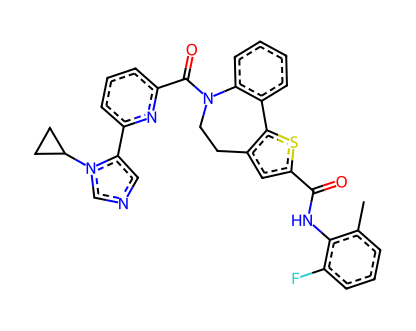 Cc1cccc(F)c1NC(=O)c1cc2c(s1)-c1ccccc1N(C(=O)c1cccc(-c3cncn3C3CC3)n1)CC2